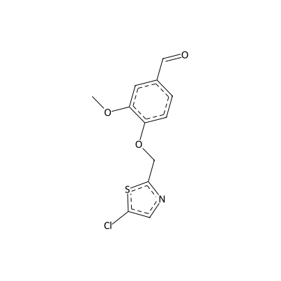 COc1cc(C=O)ccc1OCc1ncc(Cl)s1